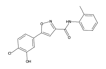 Cc1ccccc1NC(=O)c1cc(-c2ccc(Cl)c(O)c2)on1